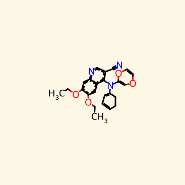 CCOc1cc2ncc(C#N)c(N(C3=CC=CCC3)C3=COC=CO3)c2cc1OCC